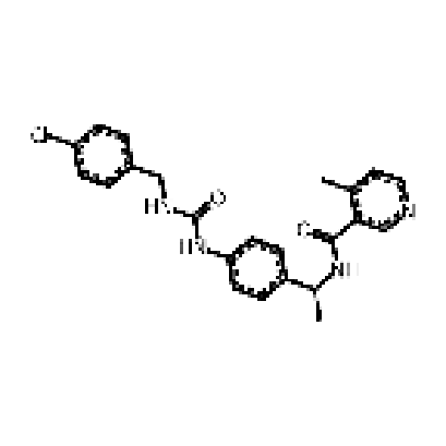 Cc1ccncc1C(=O)N[C@@H](C)c1ccc(NC(=O)NCc2ccc(Cl)cc2)cc1